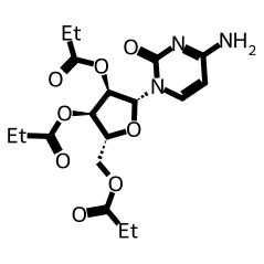 CCC(=O)OC[C@H]1O[C@@H](n2ccc(N)nc2=O)[C@H](OC(=O)CC)[C@@H]1OC(=O)CC